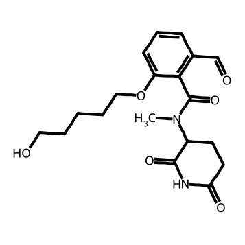 CN(C(=O)c1c(C=O)cccc1OCCCCCO)C1CCC(=O)NC1=O